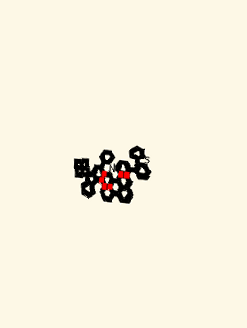 c1ccc(N(c2ccc(-c3cccc4sc5ccccc5c34)cc2)c2ccccc2-c2cccc3cccc(C4CCCCC4)c23)c(-c2ccc3c(c2)C2(c4ccccc4-3)C3CC4CC5CC2C453)c1